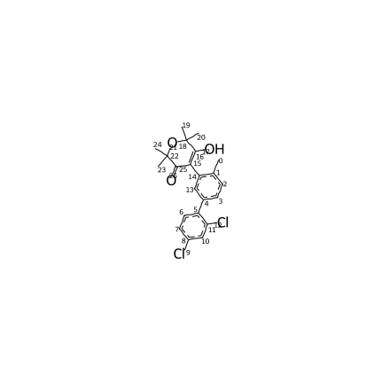 Cc1ccc(-c2ccc(Cl)cc2Cl)cc1C1=C(O)C(C)(C)OC(C)(C)C1=O